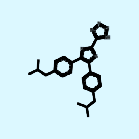 CC(C)Cc1ccc(-c2nc(-c3nnn[nH]3)sc2-c2ccc(CC(C)C)cc2)cc1